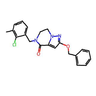 Cc1cccc(CN2CCn3nc(OCc4ccccc4)cc3C2=O)c1Cl